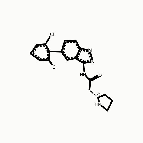 O=C(C[C@@H]1CCCN1)Nc1n[nH]c2ccc(-c3c(Cl)cccc3Cl)cc12